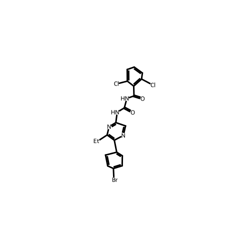 CCc1nc(NC(=O)NC(=O)c2c(Cl)cccc2Cl)cnc1-c1ccc(Br)cc1